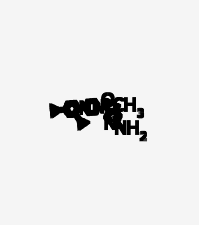 Cc1cc(N)ncc1C(=O)N1CCN(c2ccc(C3CC3)cc2C2CC2)CC1